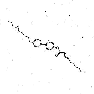 CCCCCCC=CCC(=O)Oc1ccc(-c2ccc(CCCCCOCCC)cc2)nc1